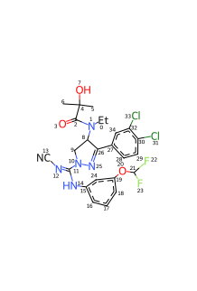 CCN(C(=O)C(C)(C)O)C1CN(/C(=N\C#N)Nc2cccc(OC(F)F)c2)N=C1c1ccc(Cl)c(Cl)c1